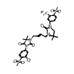 CC1(C)CN(c2ccc(S(C)(=O)=O)c(C(F)(F)F)c2)C(=O)N1CC=CCN1C(=O)N(c2ccc(S(C)(=O)=O)c(Cl)c2)C(=O)C1(C)C